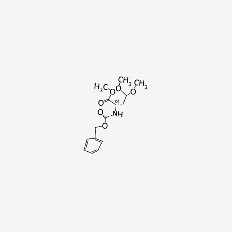 COC(=O)[C@H](CC(OC)OC)NC(=O)OCc1ccccc1